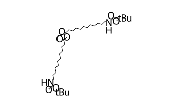 CC(C)(C)OC(=O)NCCCCCCCCCCCC(=O)OC(=O)CCCCCCCCCCCNC(=O)OC(C)(C)C